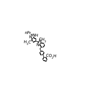 CCCc1nc2c(C)cc(-c3nc4c(Cc5ccc(-c6ccccc6C(=O)O)cc5)cccc4n3C)cc2[nH]1